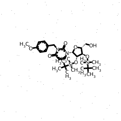 COc1ccc(Cn2c(=O)ccn([C@@H]3O[C@H](CO)[C@@H](O[Si](C)(C)C(C)(C)C)[C@@H]3O[Si](C)(C)C(C)(C)C)c2=O)cc1